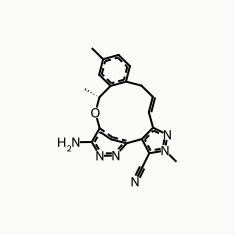 Cc1ccc2c(c1)[C@@H](C)Oc1cc(nnc1N)-c1c(nn(C)c1C#N)/C=C/C2